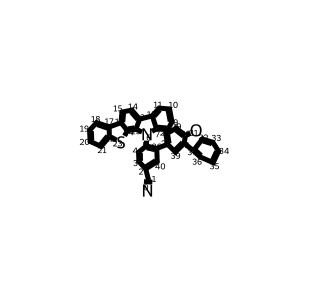 N#Cc1ccc(-n2c3ccccc3c3ccc4c5ccccc5sc4c32)c(-c2ccc3oc4ccccc4c3c2)c1